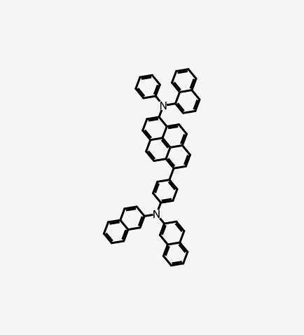 c1ccc(N(c2cccc3ccccc23)c2ccc3ccc4c(-c5ccc(N(c6ccc7ccccc7c6)c6ccc7ccccc7c6)cc5)ccc5ccc2c3c54)cc1